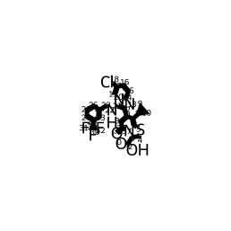 O=C(O)C1CSc2c(C3CC3)c(-c3nc4ccc(Cl)cn4c3NCc3cccc(C(F)(F)F)c3)cc(=O)n21